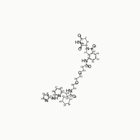 O=C1CCC(N2Cc3c(NC(=O)CCOCCOCCNC(=O)C4(Cc5cccc(Nc6nccs6)n5)CCCCC4)cccc3C2=O)C(=O)N1